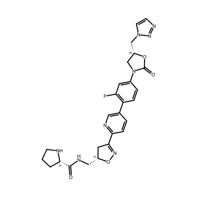 O=C(NC[C@@H]1CC(c2ccc(-c3ccc(N4C[C@H](Cn5ccnn5)OC4=O)cc3F)cn2)=NO1)[C@@H]1CCCN1